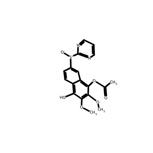 COc1c(OC)c(OC(C)=O)c2cc([S+]([O-])c3ncccn3)ccc2c1O